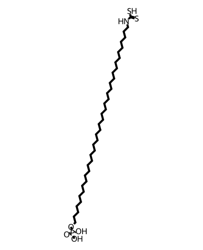 O=P(O)(O)OCCCCCCCCCCCCCCCCCCCCCCCCCCCCCCCCCCCCCCCNC(=S)S